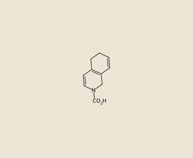 O=C(O)N1C=CC2=C(C=CCC2)C1